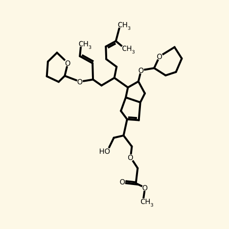 CC=CC(CC(CCC=C(C)C)C1C(OC2CCCCO2)CC2C=C(C(CO)COCC(=O)OC)CC21)OC1CCCCO1